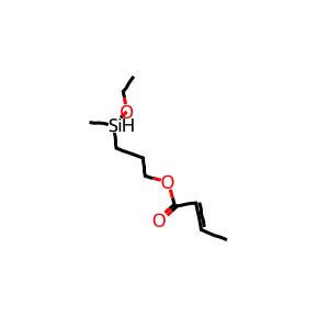 CC=CC(=O)OCCC[SiH](C)OCC